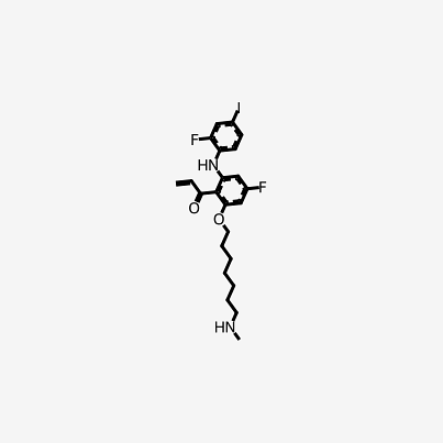 C=CC(=O)c1c(Nc2ccc(I)cc2F)cc(F)cc1OCCCCCCCNC